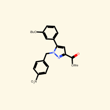 COC(=O)c1cc(-c2cccc(OCC(C)C)c2)n(Cc2ccc([N+](=O)[O-])cc2)n1